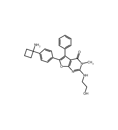 Cn1c(NCCO)nc2oc(-c3ccc(C4(N)CCC4)cc3)c(-c3ccccc3)c2c1=O